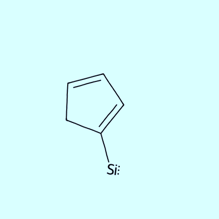 [Si]C1=CC=CC1